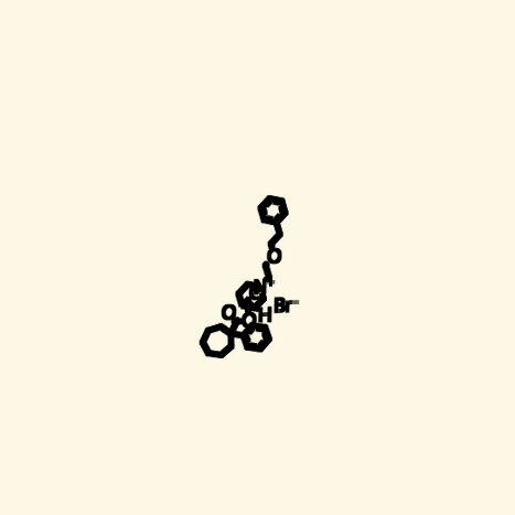 O=C(O[C@H]1C[N+]2(CCOCCc3ccccc3)CCC1CC2)C1(c2ccccc2)CCCCCC1.[Br-]